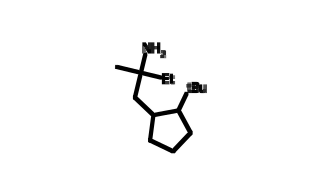 CCC(C)(N)CC1CCCC1C(C)(C)C